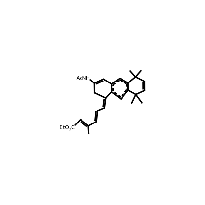 CCOC(=O)C=C(C)C=CC=C1CC(NC(C)=O)=Cc2cc3c(cc21)C(C)(C)C=CC3(C)C